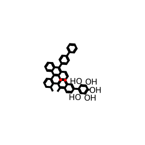 Cc1c(C2=C(c3c4ccccc4c(-c4ccc(-c5ccccc5)cc4)c4ccccc34)C=CCC2C)ccc2cc(-c3c(O)c(O)c(O)c(O)c3O)ccc12